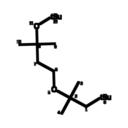 CC(C)(C)CC(C)(C)OCCC(C)(C)OC(C)(C)C